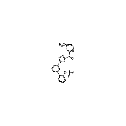 Cc1ccnc(C(=O)c2cn(-c3cccc(-c4ccccc4OC(F)(F)F)c3)cn2)c1